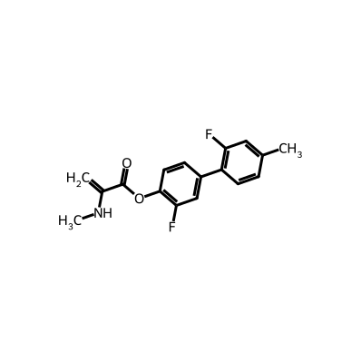 C=C(NC)C(=O)Oc1ccc(-c2ccc(C)cc2F)cc1F